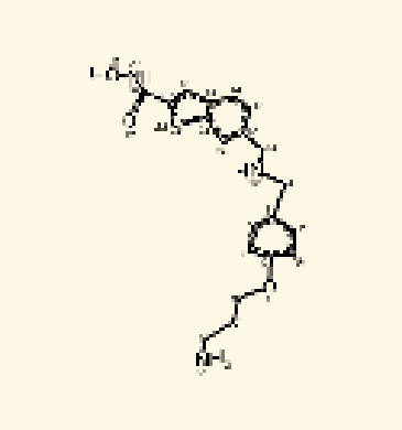 NCCCOc1ccc(CNCc2ccc3cc(C(=O)NO)sc3c2)cc1